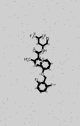 Cc1nc2c(OCc3c(F)cccc3F)cccn2c1C(=O)NC(CCl)CC(C(F)(F)F)C(F)(F)F